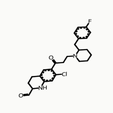 O=CC1CCc2cc(C(=O)CCN3CCCCC3Cc3ccc(F)cc3)c(Cl)cc2N1